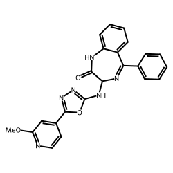 COc1cc(-c2nnc(NC3N=C(c4ccccc4)c4ccccc4NC3=O)o2)ccn1